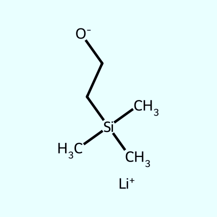 C[Si](C)(C)CC[O-].[Li+]